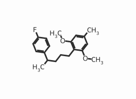 COc1cc(C)cc(OC)c1CCCC(C)c1ccc(F)cc1